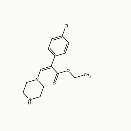 CCOC(=O)C(=CN1CCNCC1)c1ccc(Cl)cc1